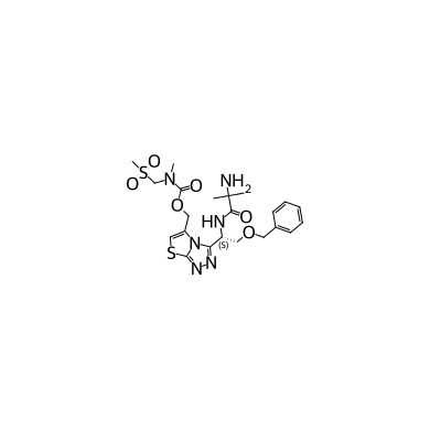 CN(CS(C)(=O)=O)C(=O)OCc1csc2nnc([C@@H](COCc3ccccc3)NC(=O)C(C)(C)N)n12